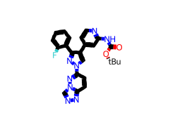 CC(C)(C)OC(=O)Nc1cc(-c2cn(-c3ccc4nncn4n3)nc2-c2ccccc2F)ccn1